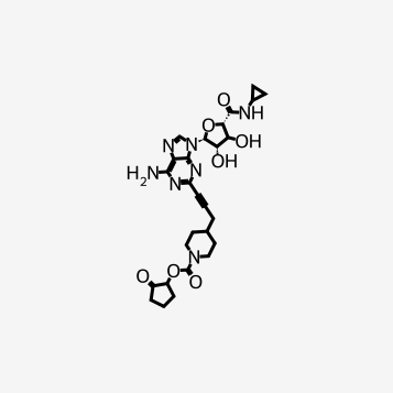 Nc1nc(C#CCC2CCN(C(=O)OC3CCCC3=O)CC2)nc2c1ncn2[C@@H]1O[C@H](C(=O)NC2CC2)C(O)[C@@H]1O